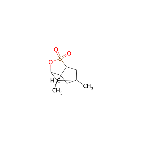 CC1C2OS(=O)(=O)C3CC1(C)CC23C